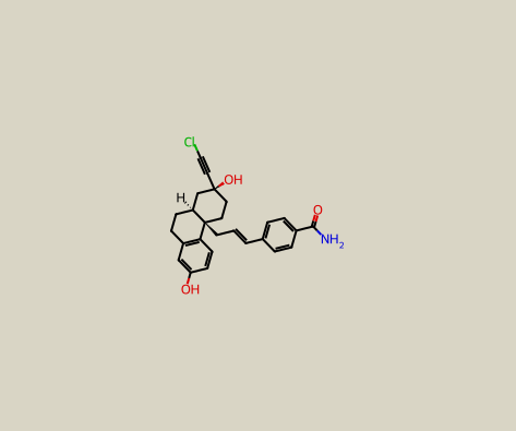 NC(=O)c1ccc(/C=C/C[C@]23CC[C@@](O)(C#CCl)C[C@@H]2CCc2cc(O)ccc23)cc1